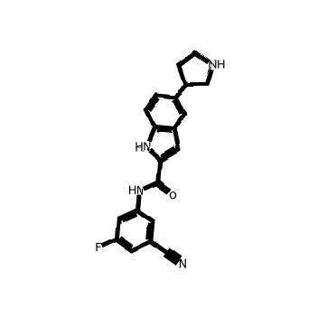 N#Cc1cc(F)cc(NC(=O)c2cc3cc(C4CCNC4)ccc3[nH]2)c1